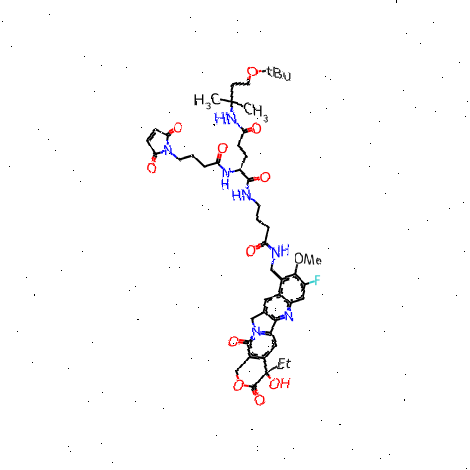 CC[C@@]1(O)C(=O)OCc2c1cc1n(c2=O)Cc2cc3c(CNC(=O)CCCNC(=O)[C@H](CCC(=O)NC(C)(C)CCOC(C)(C)C)NC(=O)CCCN4C(=O)C=CC4=O)c(OC)c(F)cc3nc2-1